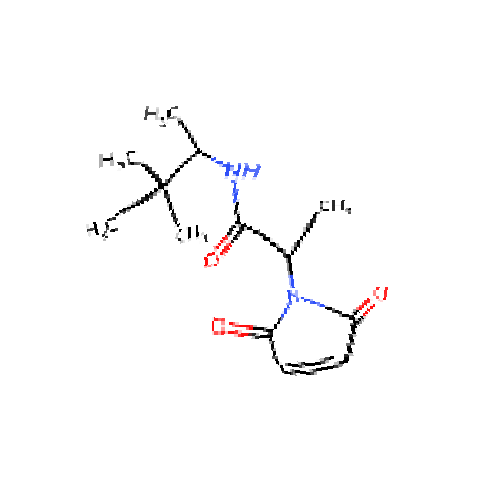 CC(C(=O)NC(C)C(C)(C)C)N1C(=O)C=CC1=O